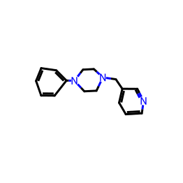 c1ccc(N2CCN(Cc3cccnc3)CC2)cc1